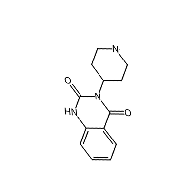 O=c1[nH]c2ccccc2c(=O)n1C1CC[N]CC1